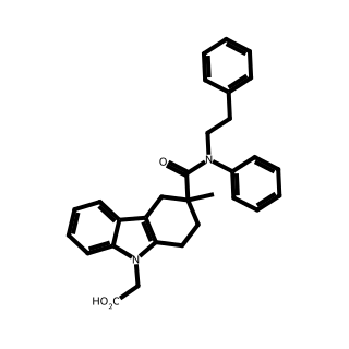 CC1(C(=O)N(CCc2ccccc2)c2ccccc2)CCc2c(c3ccccc3n2CC(=O)O)C1